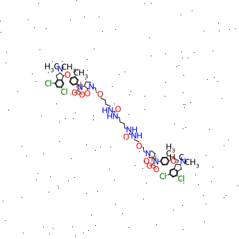 Cc1cc(N([C@H]2CCN(CCOCCCCNC(=O)NCCCCNC(=O)NCCOCCN3CC[C@H](N(c4ccc(O[C@H]5c6cc(Cl)cc(Cl)c6C[C@@H]5N(C)C)c(C)c4)[SH](=O)=O)C3=O)C2=O)[SH](=O)=O)ccc1O[C@H]1c2cc(Cl)cc(Cl)c2C[C@@H]1N(C)C